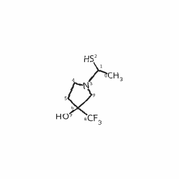 CC(S)N1CCC(O)(C(F)(F)F)C1